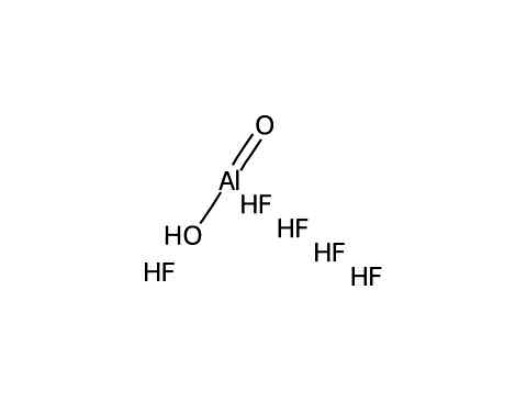 F.F.F.F.F.[O]=[Al][OH]